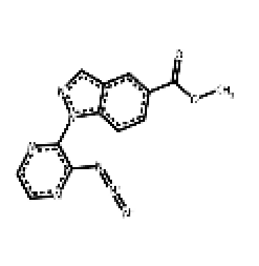 COC(=O)c1ccc2c(cnn2-c2nccnc2N=[N+]=[N-])c1